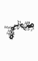 COc1cc(CC(=O)Nc2ccc(C(CC(=O)O)NCC(=O)c3ccccc3)nc2)ccc1NC(=O)Nc1ccccc1C